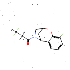 CC(F)(F)C(C)(C)C(=O)N1C[C@@H]2C[C@H]1c1cccc(F)c1O2